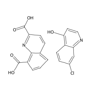 O=C(O)c1ccc2cccc(C(=O)O)c2n1.Oc1ccnc2cc(Cl)ccc12